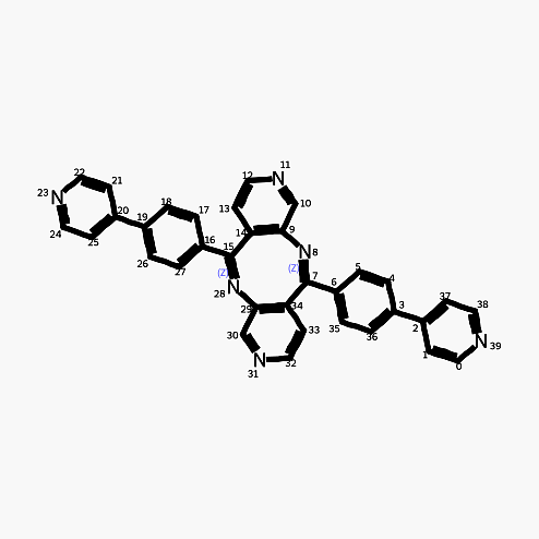 c1cc(-c2ccc(/C3=N/c4cnccc4/C(c4ccc(-c5ccncc5)cc4)=N\c4cnccc43)cc2)ccn1